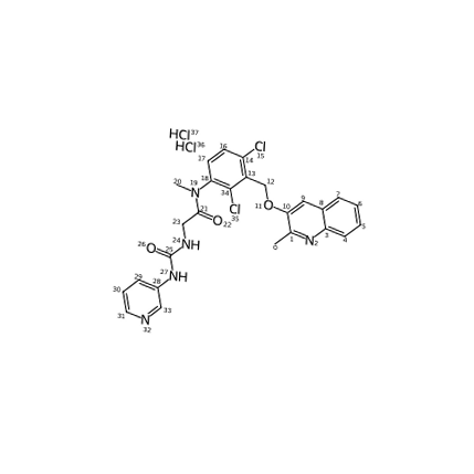 Cc1nc2ccccc2cc1OCc1c(Cl)ccc(N(C)C(=O)CNC(=O)Nc2cccnc2)c1Cl.Cl.Cl